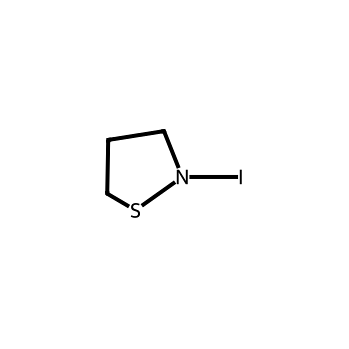 IN1CCCS1